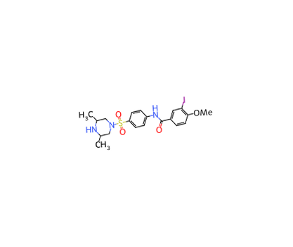 COc1ccc(C(=O)Nc2ccc(S(=O)(=O)N3CC(C)NC(C)C3)cc2)cc1I